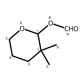 CC1(C)CCCOC1OC=O